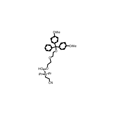 COc1ccc(C(OCCOCCOP(O)[N+](CCC#N)(C(C)C)C(C)C)(c2ccccc2)c2ccc(OC)cc2)cc1